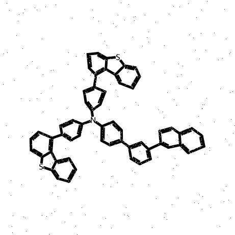 c1cc(-c2ccc(N(c3ccc(-c4cccc5sc6ccccc6c45)cc3)c3ccc(-c4cccc5sc6ccccc6c45)cc3)cc2)cc(-c2ccc3ccccc3c2)c1